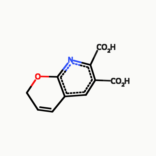 O=C(O)c1cc2c(nc1C(=O)O)OCC=C2